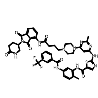 Cc1nc(Nc2ncc(C(=O)Nc3cc(NC(=O)c4cccc(C(F)(F)F)c4)ccc3C)s2)cc(N2CCN(CCCC(=O)Nc3cccc4c3C(=O)N(C3CCC(=O)NC3)C4=O)CC2)n1